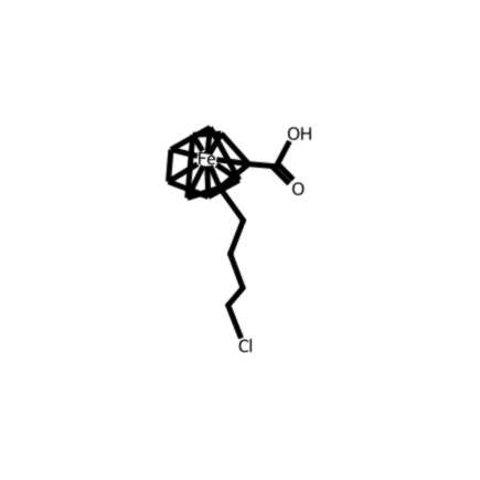 O=C(O)[C]12[CH]3[CH]4[CH]5[C]1(CCCCCl)[Fe]45321678[CH]2[CH]1[CH]6[CH]7[CH]28